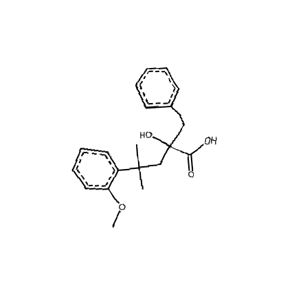 COc1ccccc1C(C)(C)CC(O)(Cc1ccccc1)C(=O)O